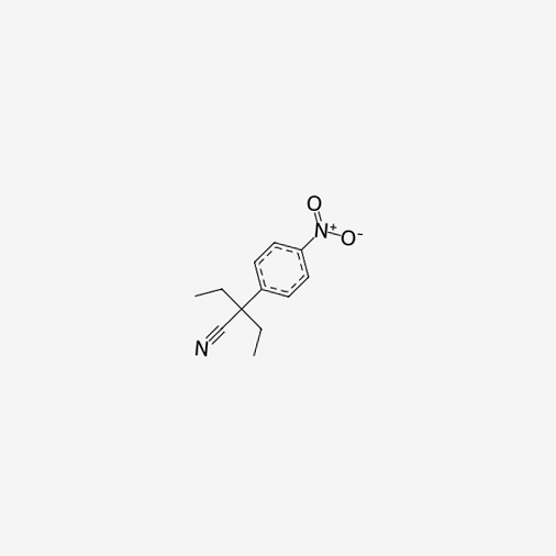 CCC(C#N)(CC)c1ccc([N+](=O)[O-])cc1